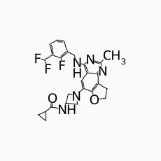 Cc1nc(NCc2cccc(C(F)F)c2F)c2cc(N3CC(NC(=O)C4CC4)C3)c3c(c2n1)CCO3